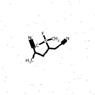 CC(C#N)CC(CC#N)S(C)(C)F